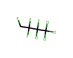 FCC(F)(F)C(F)(Cl)C(Cl)(Cl)Cl